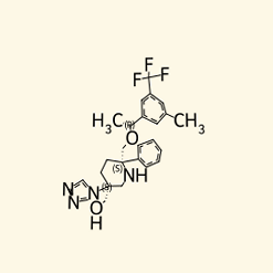 Cc1cc([C@@H](C)OC[C@@]2(c3ccccc3)CC[C@](CO)(n3cnnc3)CN2)cc(C(F)(F)F)c1